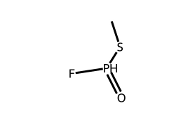 CS[PH](=O)F